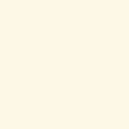 CCOCOC#Cc1ccccc1